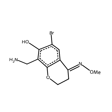 CON=C1CCOc2c1cc(Br)c(O)c2CN